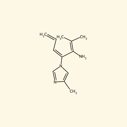 C=C/C=C(\C(N)=C(C)C)n1cnc(C)c1